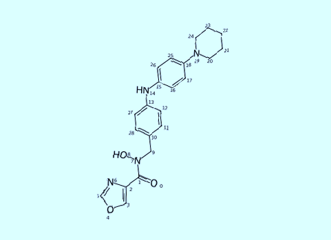 O=C(c1cocn1)N(O)Cc1ccc(Nc2ccc(N3CCCCC3)cc2)cc1